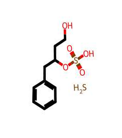 O=S(=O)(O)OC(CCO)Cc1ccccc1.S